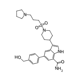 NC(=O)c1cc(-c2ccc(CO)cc2)cc2c(C3CCN(S(=O)(=O)CCCN4CCCC4)CC3)c[nH]c12